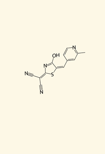 Cc1cc(/C=c2/sc(=C(C#N)C#N)nc2O)ccn1